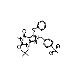 Cn1c(=O)c2c(Sc3ccccc3)n(Cc3ccc(S(C)(=O)=O)cc3)nc2n(CC(C)(C)C)c1=O